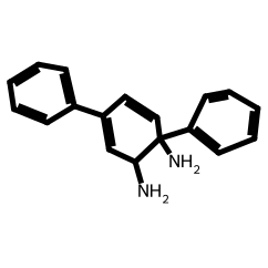 NC1C=C(c2ccccc2)C=CC1(N)c1ccccc1